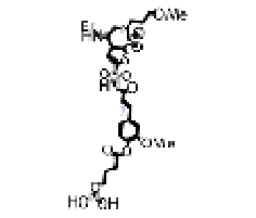 CCN[C@H]1CN(CCCOC)S(=O)(=O)c2sc(S(=O)(=O)NC(=O)/C=C/c3ccc(OC(=O)CCCON(O)O)c(OC)c3)cc21